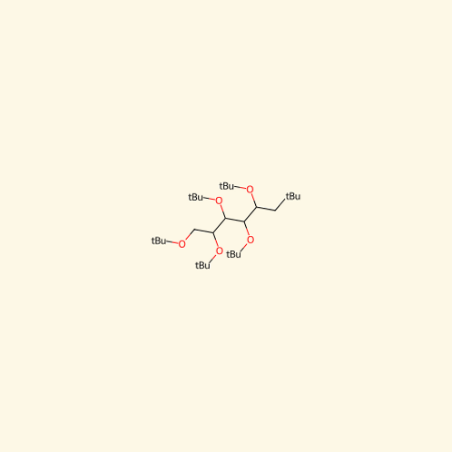 CC(C)(C)CC(OC(C)(C)C)C(OC(C)(C)C)C(OC(C)(C)C)C(COC(C)(C)C)OC(C)(C)C